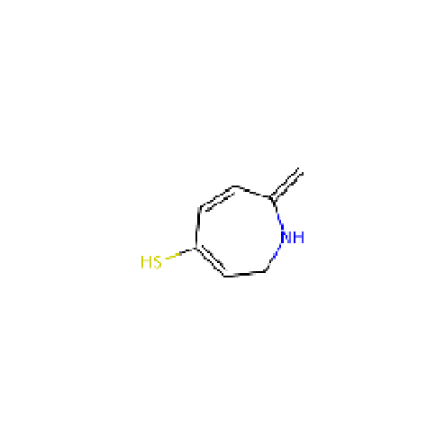 C=C1C=CC(S)=CCN1